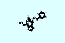 O=C1N2CC(c3ccsc3C2CO)N1OCc1ccccc1